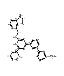 COc1cccc(-c2cncc(-c3cc([N]Cc4cccc5[nH]ccc45)nc(-c4ccccn4)n3)c2)c1